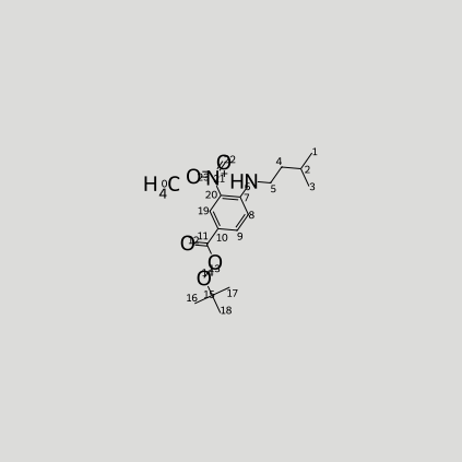 C.CC(C)CCNc1ccc(C(=O)OOC(C)(C)C)cc1[N+](=O)[O-]